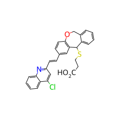 O=C(O)CCSC1c2ccccc2COc2ccc(/C=C/c3cc(Cl)c4ccccc4n3)cc21